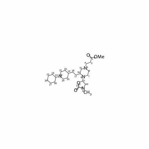 COC(=O)CCN1CCN(C2CN(C)C(=O)O2)C(CCC2CCN(C3CCCCC3)CC2)C1